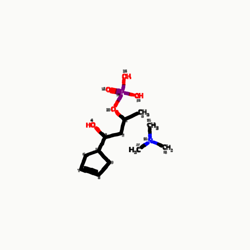 CC(CC(O)C1CC=CC1)OP(=O)(O)O.CN(C)C